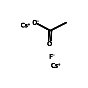 CC(=O)[O-].[Cs+].[Cs+].[F-]